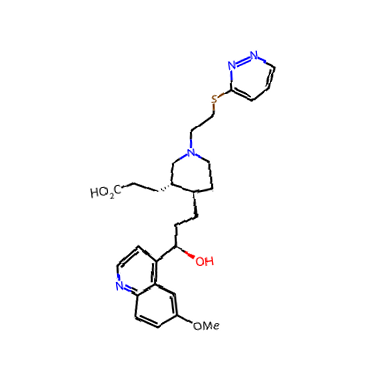 COc1ccc2nccc([C@H](O)CC[C@@H]3CCN(CCSc4cccnn4)C[C@H]3CCC(=O)O)c2c1